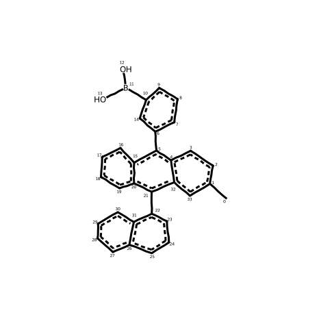 Cc1ccc2c(-c3cccc(B(O)O)c3)c3ccccc3c(-c3cccc4ccccc34)c2c1